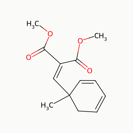 COC(=O)C(=CC1(C)C=CC=CC1)C(=O)OC